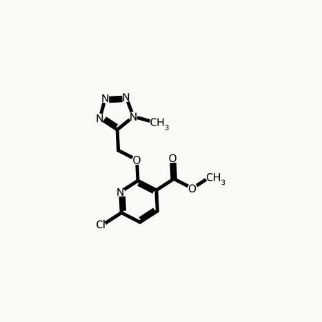 COC(=O)c1ccc(Cl)nc1OCc1nnnn1C